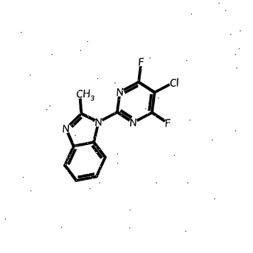 Cc1nc2ccccc2n1-c1nc(F)c(Cl)c(F)n1